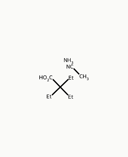 CC#N.CCC(CC)(CC)C(=O)O.N